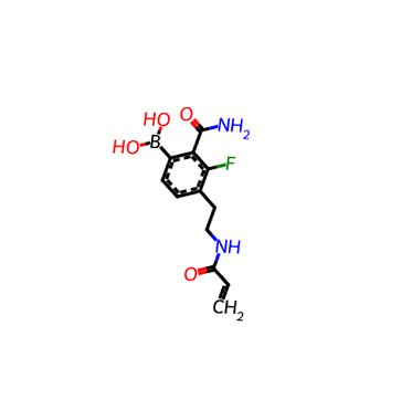 C=CC(=O)NCCc1ccc(B(O)O)c(C(N)=O)c1F